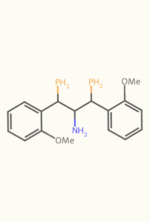 COc1ccccc1C(P)C(N)C(P)c1ccccc1OC